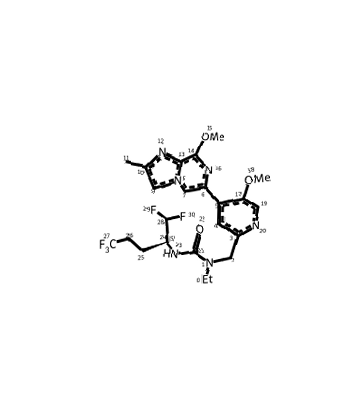 CCN(Cc1cc(-c2cn3cc(C)nc3c(OC)n2)c(OC)cn1)C(=O)N[C@@H](CCC(F)(F)F)C(F)F